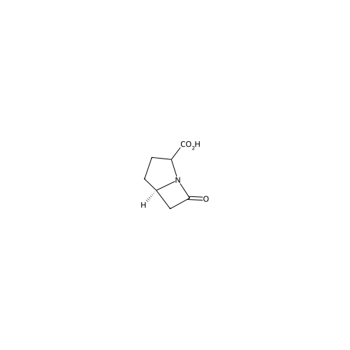 O=C(O)C1CC[C@@H]2CC(=O)N12